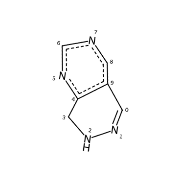 C1=NNCc2ncncc21